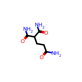 NC(=O)CCC(C(N)=O)C(N)=O